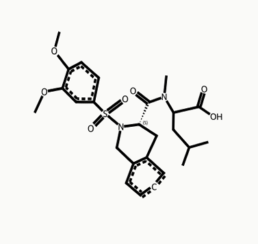 COc1ccc(S(=O)(=O)N2Cc3ccccc3C[C@H]2C(=O)N(C)C(CC(C)C)C(=O)O)cc1OC